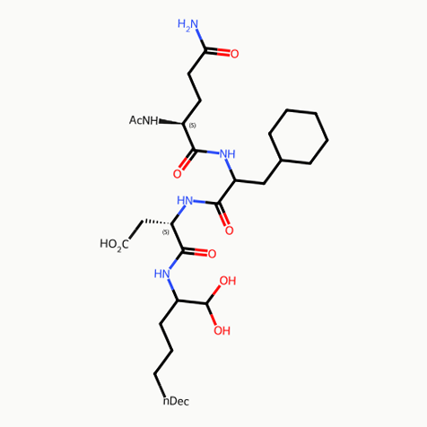 CCCCCCCCCCCCCC(NC(=O)[C@H](CC(=O)O)NC(=O)C(CC1CCCCC1)NC(=O)[C@H](CCC(N)=O)NC(C)=O)C(O)O